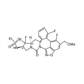 CCS(=O)(=O)N[C@@H]1CN2C(=O)N(c3noc4cc(COC)c(F)c(-c5c(F)cccc5F)c34)CC[C@@H]2C1(F)F